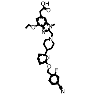 CCOc1cc(CC(=O)O)cc2c1nc(CN1CCC(c3cccc(OCc4ccc(C#N)cc4F)n3)CC1)n2C